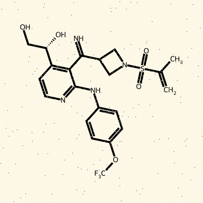 C=C(C)S(=O)(=O)N1CC(C(=N)c2c([C@@H](O)CO)ccnc2Nc2ccc(OC(F)(F)F)cc2)C1